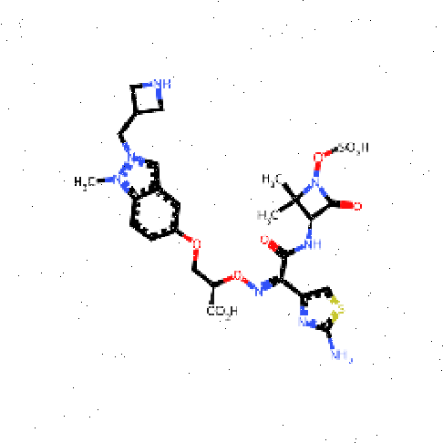 C[n+]1c2ccc(OC[C@@H](O/N=C(\C(=O)N[C@@H]3C(=O)N(OS(=O)(=O)O)C3(C)C)c3csc(N)n3)C(=O)O)cc2cn1CC1CNC1